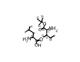 CC(C)CC(N)C(=O)O.CCC(C)C(N)C(=O)OC(C)(C)C